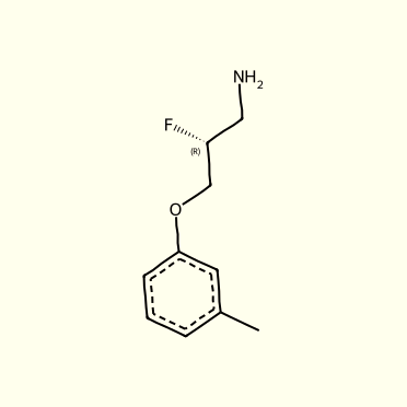 Cc1cccc(OC[C@H](F)CN)c1